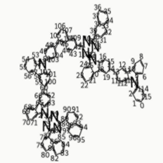 c1ccc(-n2c3ccccc3c3cc(-c4ccc5c(c4)c4ccccc4n5-c4nc(-c5ccc6ccccc6c5)nc(-c5ccc6c(-c7ccc(-n8c9ccccc9c9cc(-c%10ccc%11c(c%10)c%10ccccc%10n%11-c%10nc(-c%11cccc%12ccccc%11%12)nc(-c%11cccc%12ccccc%11%12)n%10)ccc98)cc7)cccc6c5)n4)ccc32)cc1